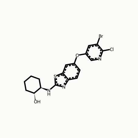 O[C@@H]1CCCC[C@H]1Nc1nc2ccc(Oc3cnc(Cl)c(Br)c3)cc2s1